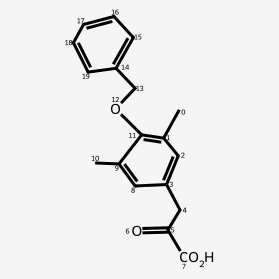 Cc1cc(CC(=O)C(=O)O)cc(C)c1OCc1ccccc1